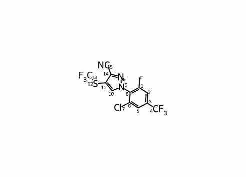 Cc1cc(C(F)(F)F)cc(Cl)c1-n1cc(SC(F)(F)F)c(C#N)n1